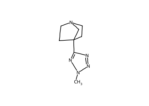 Cn1nnc(C23CCN(CC2)C3)n1